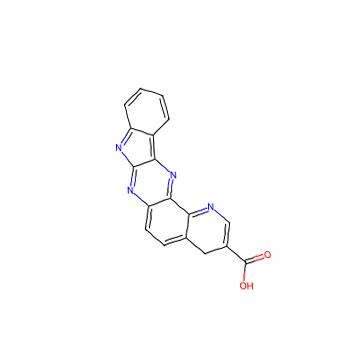 O=C(O)C1=CN=c2c(ccc3nc4c(nc23)=c2ccccc2=N4)C1